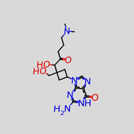 CN(C)CCCC(=O)C(O)C1(CO)CC(n2cnc3c(=O)[nH]c(N)nc32)C1